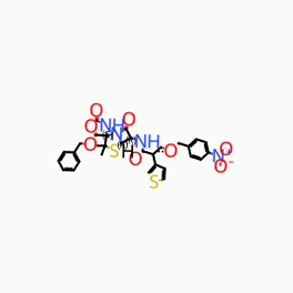 CC1(C)S[C@@H]2[C@H](NC(=O)C([C]OCc3ccc([N+](=O)[O-])cc3)c3ccsc3)C(=O)N2[C@@]1(NC=O)C(=O)OCc1ccccc1